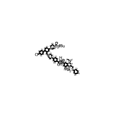 CN(C)CC[C@H](CSc1ccccc1)Nc1ccc(S(=O)(=O)NC(=O)c2ccc(N3CCN(Cc4cc(N5CCN(C(=O)OC(C)(C)C)CC5)ccc4-c4ccc(Cl)cc4)CC3)cc2)cc1[N+](=O)[O-]